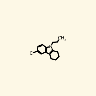 C[CH]Cn1c2c(c3cc(Cl)ccc31)CCCC2